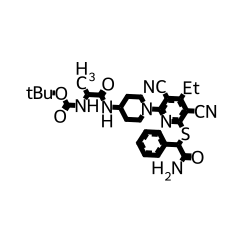 CCc1c(C#N)c(SC(C(N)=O)c2ccccc2)nc(N2CCC(NC(=O)C(C)NC(=O)OC(C)(C)C)CC2)c1C#N